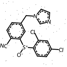 N#Cc1ccc(Cn2ccnc2)cc1[S+]([O-])c1ccc(Cl)cc1Cl